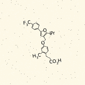 Cc1cc(OCc2cc(-c3ccc(C(F)(F)F)cc3)oc2C(C)C)ccc1CCC(=O)O